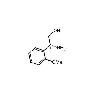 COc1ccccc1[C@@H](N)CO